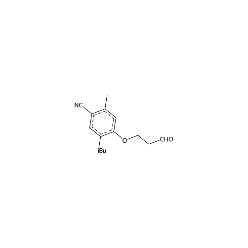 CCC(C)c1cc(C#N)c(C)cc1OCCC=O